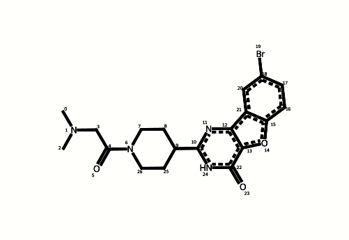 CN(C)CC(=O)N1CCC(c2nc3c(oc4ccc(Br)cc43)c(=O)[nH]2)CC1